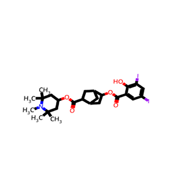 CN1C(C)(C)CC(OC(=O)C2CC3CC2CC3OC(=O)c2cc(I)cc(I)c2O)CC1(C)C